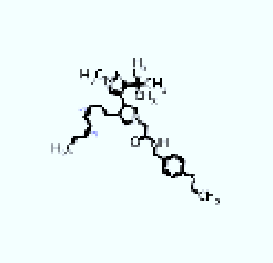 C=C/C=C\C=C/CCC1CN(CC(=O)NCc2ccc(SCC)cc2)CC1c1cn(C)nc1C(C)(C)C